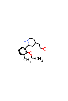 CCOc1c(C)cccc1C1CC(CCO)CCN1